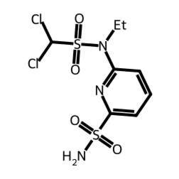 CCN(c1cccc(S(N)(=O)=O)n1)S(=O)(=O)C(Cl)Cl